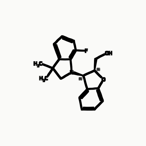 CC1(C)CN([C@@H]2c3ccccc3O[C@@H]2CO)c2c(F)cccc21